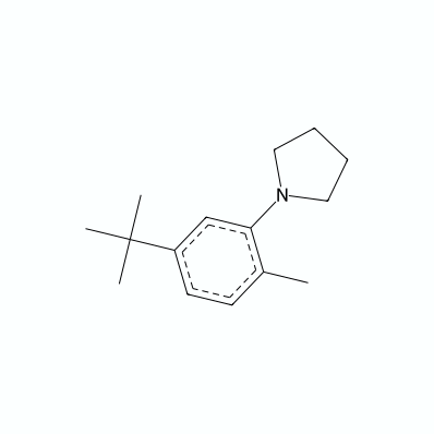 Cc1ccc(C(C)(C)C)cc1N1CCCC1